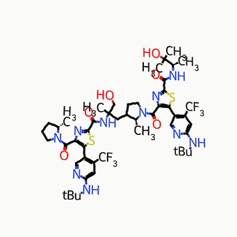 C[C@H]1CCCN1C(=O)c1nc(C(=O)NC(C)(CO)CC2CCN(C(=O)c3nc(C(=O)N[C@H](C)C(C)(C)O)sc3-c3cnc(NC(C)(C)C)cc3C(F)(F)F)[C@H]2C)sc1-c1cnc(NC(C)(C)C)cc1C(F)(F)F